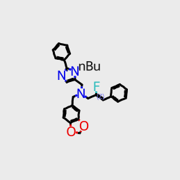 CCCCn1c(CN(C/C(F)=C/c2ccccc2)Cc2ccc3c(c2)OCO3)cnc1-c1ccccc1